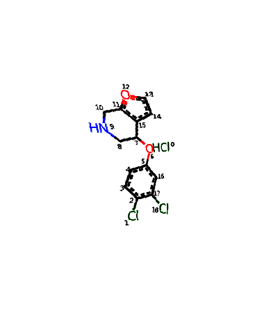 Cl.Clc1ccc(OC2CNCc3occc32)cc1Cl